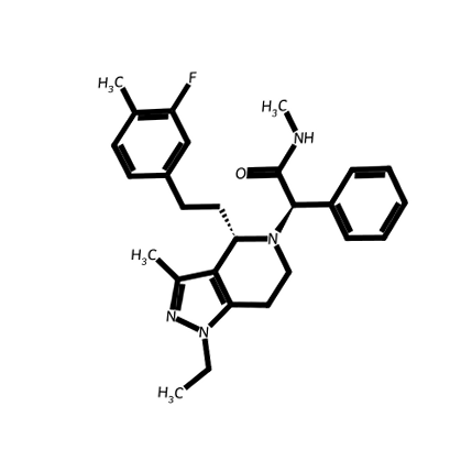 CCn1nc(C)c2c1CCN([C@@H](C(=O)NC)c1ccccc1)[C@H]2CCc1ccc(C)c(F)c1